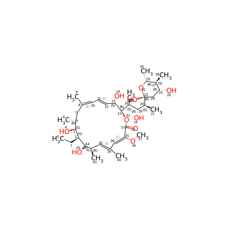 CC[C@H]1[C@@H](O)[C@H](C)C/C(C)=C/C=C/[C@H](O)[C@@H]([C@@H](C)[C@@H](O)[C@H](C)[C@@]2(O)C[C@@H](O)[C@H](C)[C@@H](C)O2)OC(=O)/C(OC)=C/C(C)=C/[C@@H](C)[C@H]1O